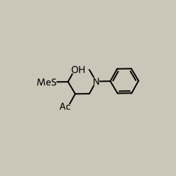 CSC(O)C(CN(C)c1ccccc1)C(C)=O